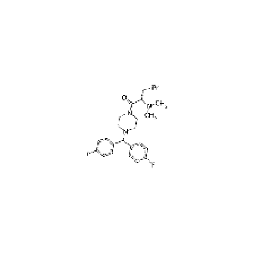 CC(C)CC(C(=O)N1CCN(C(c2ccc(F)cc2)c2ccc(F)cc2)CC1)N(C)C